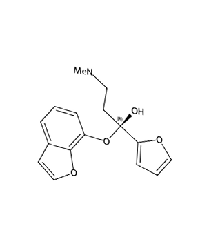 CNCC[C@@](O)(Oc1cccc2ccoc12)c1ccco1